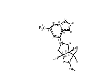 CC(=O)N1C[C@@H]2CN(c3cc(C(F)(F)F)cn4cncc34)C[C@@H]2C1(C)C